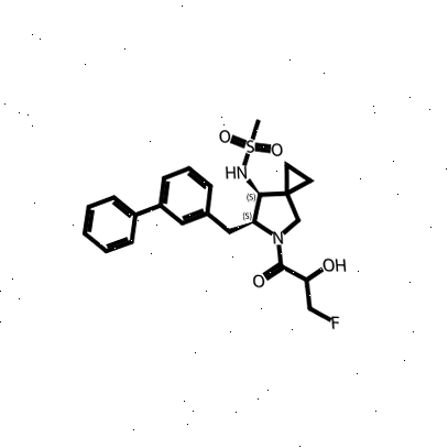 CS(=O)(=O)N[C@@H]1[C@H](Cc2cccc(-c3ccccc3)c2)N(C(=O)C(O)CF)CC12CC2